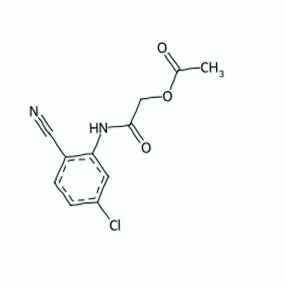 CC(=O)OCC(=O)Nc1cc(Cl)ccc1C#N